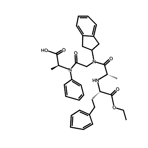 CCOC(=O)[C@H](CCc1ccccc1)N[C@@H](C)C(=O)N(CC(=O)N(c1ccccc1)[C@@H](C)C(=O)O)C1Cc2ccccc2C1